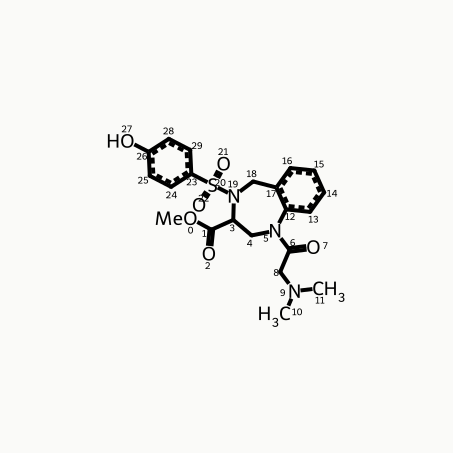 COC(=O)C1CN(C(=O)CN(C)C)c2ccccc2CN1S(=O)(=O)c1ccc(O)cc1